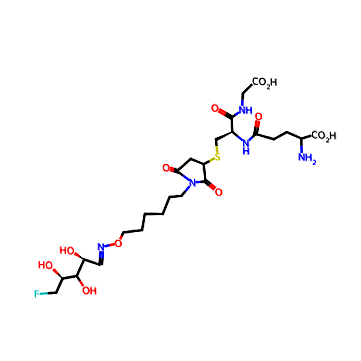 NC(CCC(=O)N[C@@H](CSC1CC(=O)N(CCCCCCO/N=C/[C@H](O)C(O)[C@H](O)CF)C1=O)C(=O)NCC(=O)O)C(=O)O